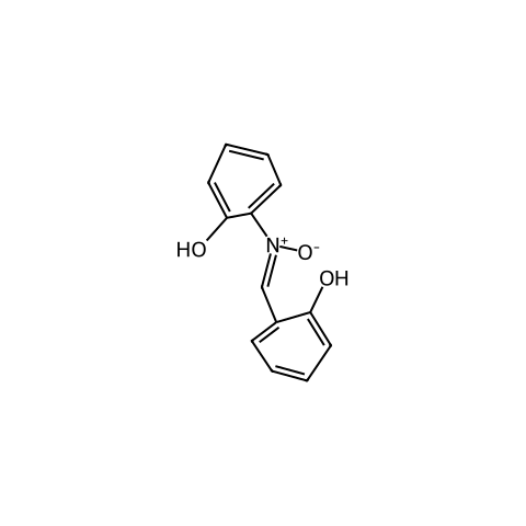 [O-][N+](=Cc1ccccc1O)c1ccccc1O